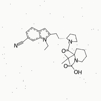 CCn1c(CC[C@@H]2CCCN2C(=O)C2(C(C)(C)C)CCCCN2C(=O)O)cc2ccc(C#N)cc21